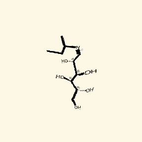 CCC(C)/N=C\[C@@H](O)[C@@H](O)[C@H](O)[C@H](O)CO